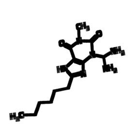 CCCCCCc1nc2c([nH]1)c(=O)n(C)c(=O)n2C(N)N